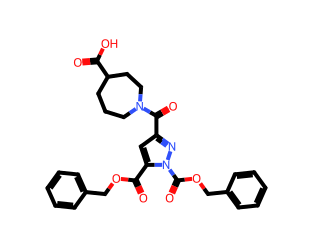 O=C(OCc1ccccc1)c1cc(C(=O)N2CCCC(C(=O)O)CC2)nn1C(=O)OCc1ccccc1